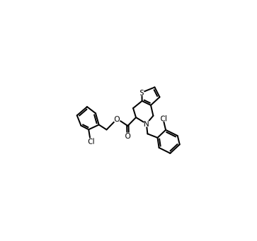 O=C(OCc1ccccc1Cl)C1Cc2sccc2CN1Cc1ccccc1Cl